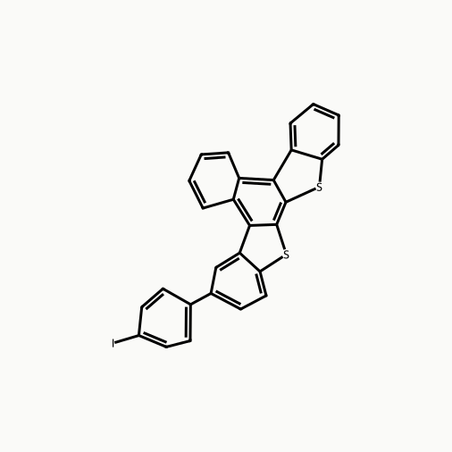 Ic1ccc(-c2ccc3sc4c5sc6ccccc6c5c5ccccc5c4c3c2)cc1